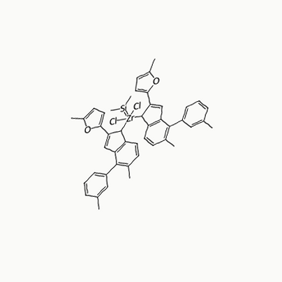 Cc1cccc(-c2c(C)ccc3c2C=C(c2ccc(C)o2)[CH]3[Zr]([Cl])([Cl])([CH]2C(c3ccc(C)o3)=Cc3c2ccc(C)c3-c2cccc(C)c2)=[Si](C)C)c1